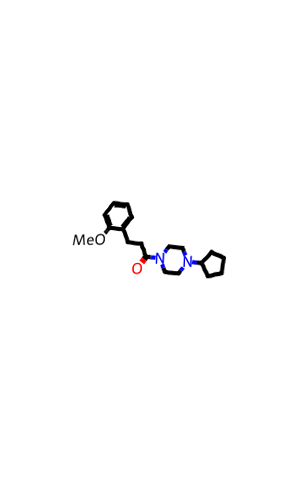 COc1ccccc1CCC(=O)N1CCN(C2CCCC2)CC1